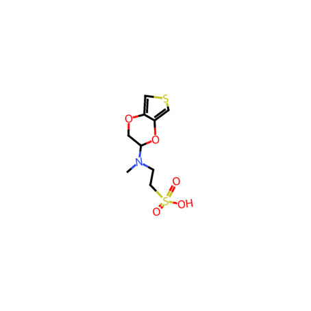 CN(CCS(=O)(=O)O)C1COc2cscc2O1